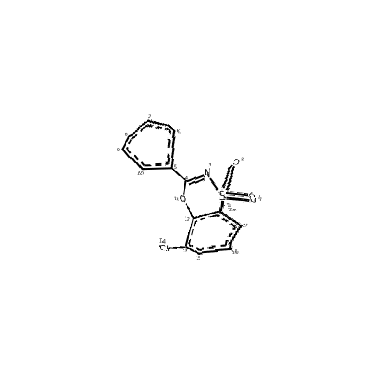 O=S1(=O)N=C(c2ccccc2)Oc2c(Cl)cccc21